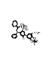 CN1C(C2CCCCC2)CN(c2ccccc2)c2cc(Cl)c(-c3cc4c(c(C(=O)O)c3)OC(F)(F)O4)cc2S1(O)O